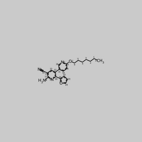 CCCCCCCOc1ccc(-c2cc(C#N)c(N)nc2-c2ccco2)cn1